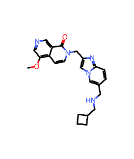 COc1cncc2c(=O)n(Cc3cn4cc(CNCC5CCC5)ccc4n3)ccc12